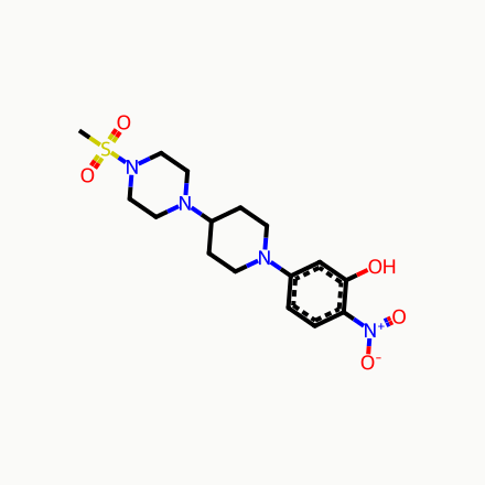 CS(=O)(=O)N1CCN(C2CCN(c3ccc([N+](=O)[O-])c(O)c3)CC2)CC1